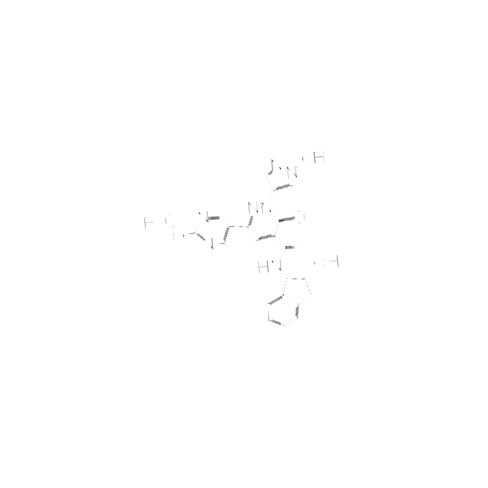 COc1ncc(-c2cc(C(=O)N[C@H]3c4ccccc4C[C@H]3O)c(=O)n(-c3cnn(C)c3)n2)cn1